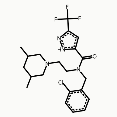 CC1CC(C)CN(CCN(Cc2ccccc2Cl)C(=O)c2cc(C(F)(F)F)n[nH]2)C1